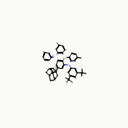 Cc1ccc2c(c1)N(c1ccccc1)c1cc(C34CC5CC(CC(C5)C3)C4)cc3c1B2c1ccc(C)cc1N3c1cc(C(C)(C)C)cc(C(C)(C)C)c1